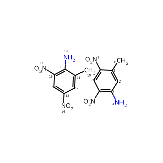 Cc1cc(N)c([N+](=O)[O-])cc1[N+](=O)[O-].Cc1cc([N+](=O)[O-])cc([N+](=O)[O-])c1N